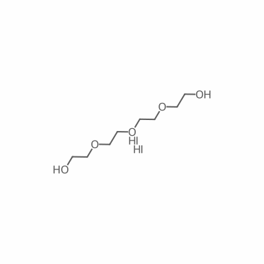 I.I.OCCOCCOCCOCCO